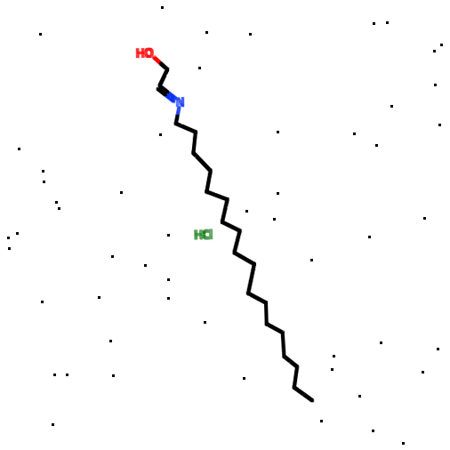 CCCCCCCCCCCCCCCCCCN=CCO.Cl